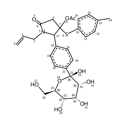 C=CCN1C(=O)CC(OC(C)=O)(Sc2ccc(C)cc2)C1c1ccc([C@@]2(O)O[C@H](CO)[C@@H](O)[C@@H](O)[C@H]2O)cc1